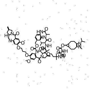 C=C1CC2C(O)N(C(=O)OCc3ccc(NC(=O)C(C)NC(=O)[C@@H](NC(=O)C(C)(C)OCCC(C)(C)NS(=O)(=O)NC(=O)OC4C5CCc6c(n(C(C)C)n6C)CCC54)C(C)C)cc3)c3cc(OCCCOc4cc5c(cc4OC)C(=O)N4CC(=C)C[C@H]4C=N5)c(OC)cc3C(=O)N2C1